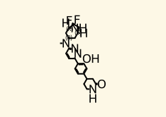 CN(c1ccc(-c2ccc(C3CCNC(=O)C3)cc2O)nn1)[C@@H]1C[C@H]2CC(F)(F)[C@@H](C1)N2